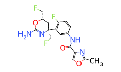 Cc1nc(C(=O)Nc2ccc(F)c([C@]3(CF)C[C@@H](CF)OC(N)=N3)c2)co1